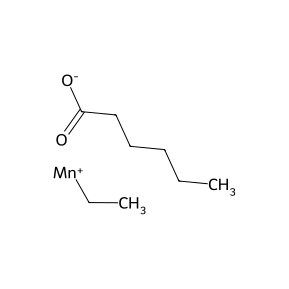 CCCCCC(=O)[O-].C[CH2][Mn+]